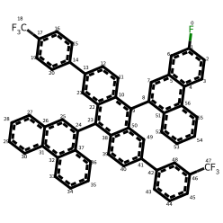 Fc1ccc2c(c1)cc(-c1c3ccc(-c4ccc(C(F)(F)F)cc4)cc3c(-c3cc4ccccc4c4ccccc34)c3ccc(-c4cccc(C(F)(F)F)c4)cc13)c1ccccc12